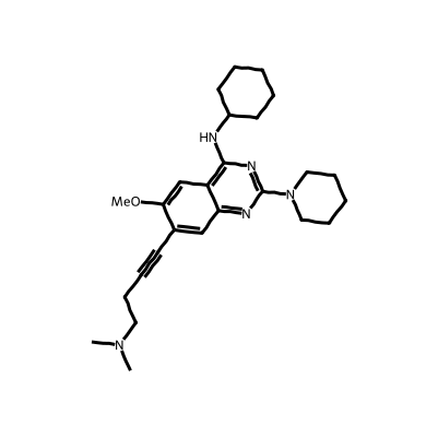 COc1cc2c(NC3CCCCC3)nc(N3CCCCC3)nc2cc1C#CCCN(C)C